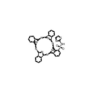 O=S(=O)(Nc1nccs1)c1cccc2c3nc4nc(nc5[nH]c(nc6nc(nc([nH]3)c12)-c1ccccc1-6)c1ccccc51)-c1ccccc1-4